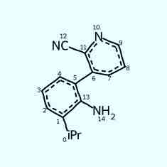 CC(C)c1cccc(-c2cccnc2C#N)c1N